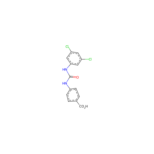 O=C(Nc1ccc(C(=O)O)cc1)Nc1cc(Cl)cc(Cl)c1